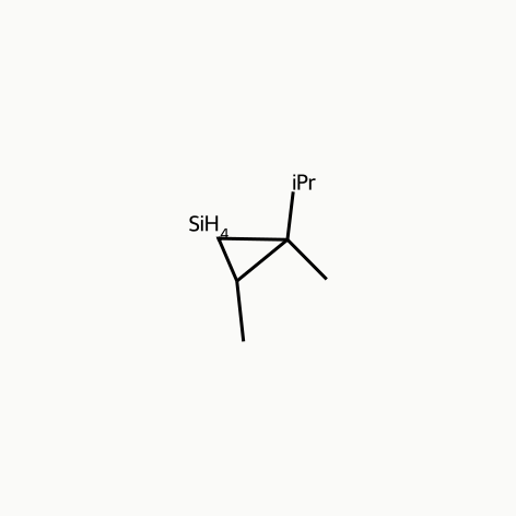 CC(C)C1(C)CC1C.[SiH4]